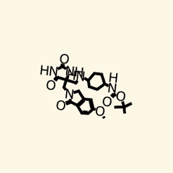 COc1ccc2c(c1)CN(CC1(CNC3CCC(NC(=O)OC(C)(C)C)CC3)NC(=O)NC1=O)C2=O